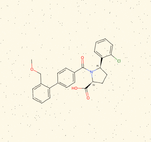 COCc1ccccc1-c1ccc(C(=O)N2[C@@H](c3ccccc3Cl)CC[C@H]2C(=O)O)cc1